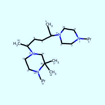 CC(C)N1CCN(C(C)CCC(C)N2CCN(C(C)C)C(C)(C)C2)CC1